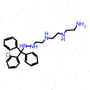 NCCNCCNCCNNC(c1ccccc1)(c1ccccc1)c1ccccc1Cl